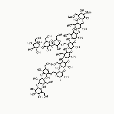 COCC1O[C@@H](OC2[C@H](O)C(CO)O[C@@H](OC3[C@H](O)C(CO)O[C@@H](OC4[C@H](O)C(CO[C@@H]5OC(CO)[C@@H](O)C(O[C@@H]6OC(CO)[C@@H](O)C(O[C@@H]7OC(CO)[C@@H](O)C(O)[C@@H]7O)[C@@H]6O)[C@@H]5O)O[C@@H](OC5[C@H](O)C(CO)O[C@@H](OC6[C@H](O)C(CO)O[C@@H](OC7[C@H](O)C(CO[C@@H]8OC(CO)[C@@H](O)C(O[C@@H]9OC(CO)[C@@H](O)C(O[C@@H]%10OC(CO)[C@@H](O)C(O)[C@@H]%10O)[C@@H]9O)[C@@H]8O)O[C@@H](C)[C@H]7O)[C@H]6O)[C@H]5O)[C@H]4O)[C@H]3O)[C@H]2O)[C@@H](O)C(OC)[C@@H]1O